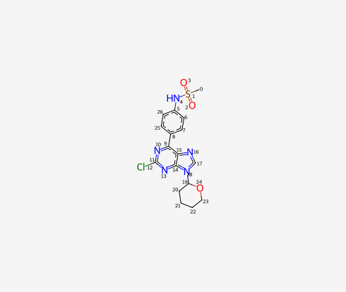 CS(=O)(=O)Nc1ccc(-c2nc(Cl)nc3c2ncn3C2CCCCO2)cc1